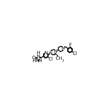 CC[C@H]1CN(c2ncc(-c3n[nH]c(=O)[nH]3)cc2Cl)CCN1C1CCN(Cc2ccc(Cl)cc2F)CC1